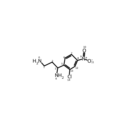 NCCC(N)c1ccc([N+](=O)[O-])cc1Cl